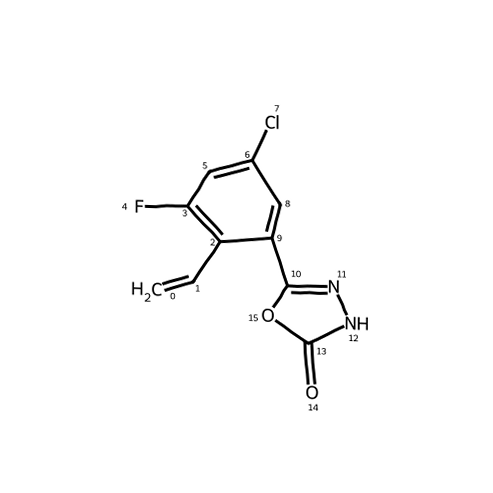 C=Cc1c(F)cc(Cl)cc1-c1n[nH]c(=O)o1